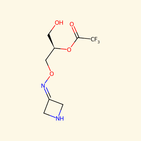 O=C(O[C@H](CO)CON=C1CNC1)C(F)(F)F